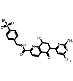 CCS(=O)(=O)c1ccc(CNC(=O)c2ccc3c(n2)C(C(C)C)CC(c2cc(C)nc(C)n2)C3=O)cc1